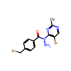 N#Cc1ncc(Br)c(N(N)C(=O)c2ccc(CBr)cc2)n1